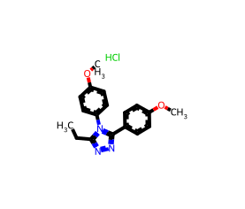 CCc1nnc(-c2ccc(OC)cc2)n1-c1ccc(OC)cc1.Cl